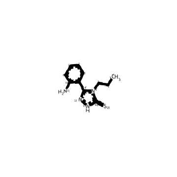 CCCn1c(-c2ccccc2N)n[nH]c1=S